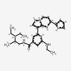 CCNc1cc(C(=O)NCC(C)N(CC)CC)cc(-c2cnn3ccc(-c4cccs4)nc23)n1